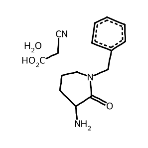 N#CCC(=O)O.NC1CCCN(Cc2ccccc2)C1=O.O